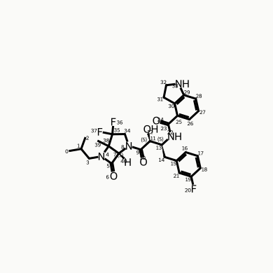 CC(C)CN1C(=O)[C@H]2N(C(=O)[C@@H](O)[C@H](Cc3cccc(F)c3)NC(=O)c3cccc4c3CCN4)CC(F)(F)C21C